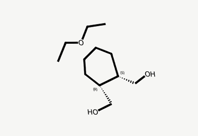 CCOCC.OC[C@@H]1CCCC[C@@H]1CO